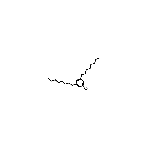 CCCCCCCCc1cc(O)cc(CCCCCCCC)c1